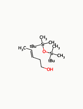 C/C=C/CCO.CC(C)(C)[Si](C)(C)O[Si](C)(C)C(C)(C)C